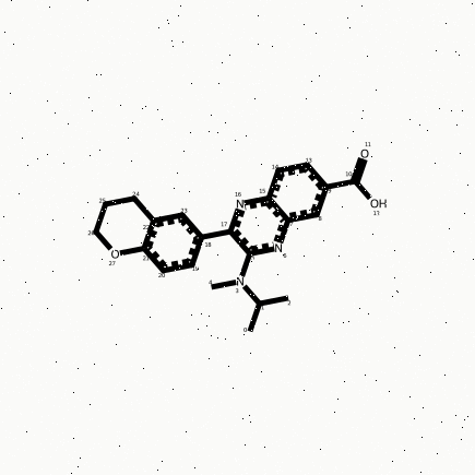 CC(C)N(C)c1nc2cc(C(=O)O)ccc2nc1-c1ccc2c(c1)CCCO2